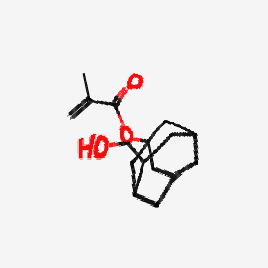 C=C(C)C(=O)OC12CC3CC(C1)C(CO)C(C3)C2